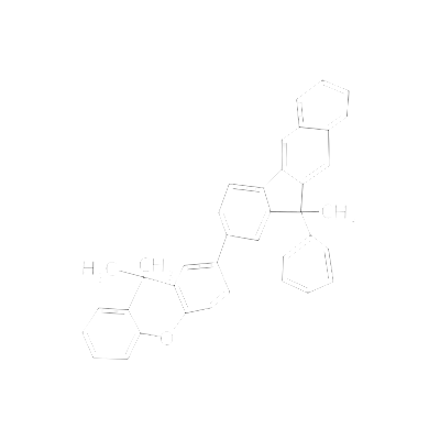 CC1(C)c2ccccc2Oc2ccc(-c3ccc4c(c3)C(C)(c3ccccc3)c3cc5ccccc5cc3-4)cc21